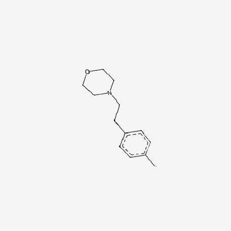 [CH2]c1ccc(CCN2CCOCC2)cc1